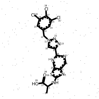 CC(Nc1nc2cnc(-c3cn(Cc4cc(Cl)c(Cl)c(Cl)c4)nn3)nc2s1)C(=O)O